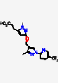 Cc1nn(-c2ccc(C(F)(F)F)cn2)cc1COc1cc(CCC(=O)O)n(C)n1